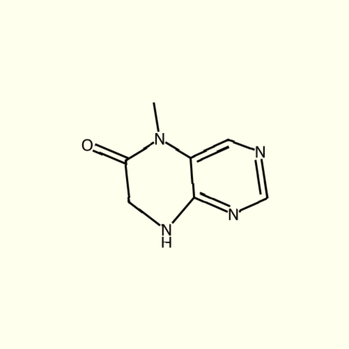 CN1C(=O)CNc2ncncc21